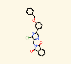 O=C1c2ccccc2C(=O)N1Cc1ncc(-c2cccc(OCc3ccccc3)c2)nc1Cl